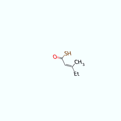 CCC(C)=CC(=O)S